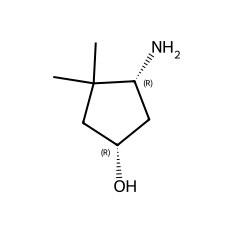 CC1(C)C[C@@H](O)C[C@H]1N